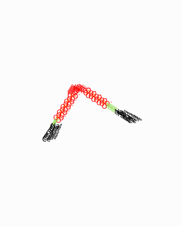 O=P([O-])([O-])[O-].O=P([O-])([O-])[O-].O=P([O-])([O-])[O-].O=P([O-])([O-])[O-].O=P([O-])([O-])[O-].O=P([O-])([O-])[O-].O=P([O-])([O-])[O-].O=P([O-])([O-])[O-].O=P([O-])([O-])[O-].[Ce+3].[Ce+3].[Ce+3].[Ce+3].[Ce+3].[F-].[F-].[F-].[F-].[F-].[F-].[F-].[F-].[F-].[La+3].[La+3].[La+3].[La+3].[La+3].[Na+].[Na+].[Na+].[Na+].[Na+].[OH-].[OH-].[OH-].[OH-].[OH-].[OH-].[OH-].[OH-].[OH-].[Sr+2].[Sr+2].[Sr+2].[Sr+2].[Sr+2]